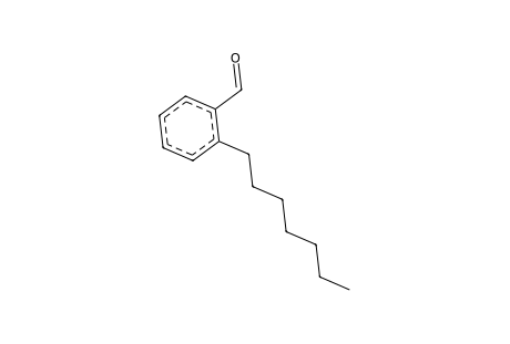 CCCCCCCc1ccccc1C=O